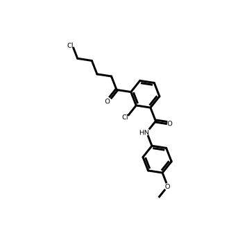 COc1ccc(NC(=O)c2cccc(C(=O)CCCCCl)c2Cl)cc1